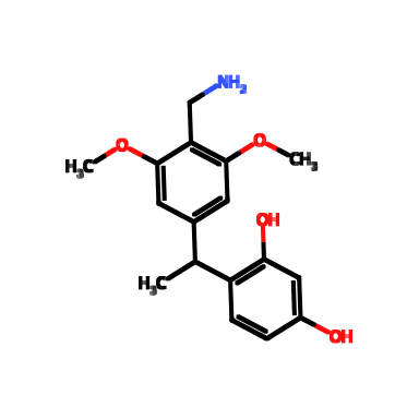 COc1cc(C(C)c2ccc(O)cc2O)cc(OC)c1CN